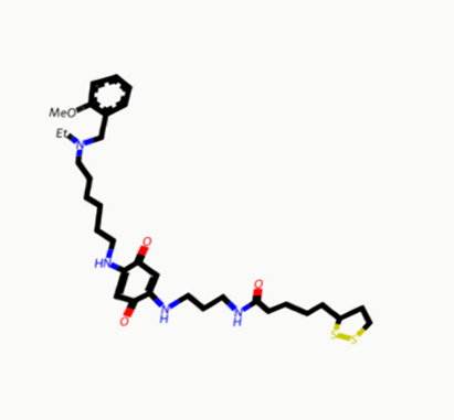 CCN(CCCCCCNC1=CC(=O)C(NCCCNC(=O)CCCCC2CCSS2)=CC1=O)Cc1ccccc1OC